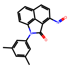 Cc1cc(C)cc(N2C(=O)c3c(N=O)ccc4cccc2c34)c1